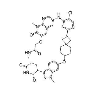 CNC(=O)COc1cc2cc(Nc3nc(N4CC5(CCC(Oc6ccc7c(C8CCC(=O)NC8=O)nn(C)c7c6)CC5)C4)ncc3Cl)cnc2n(C)c1=O